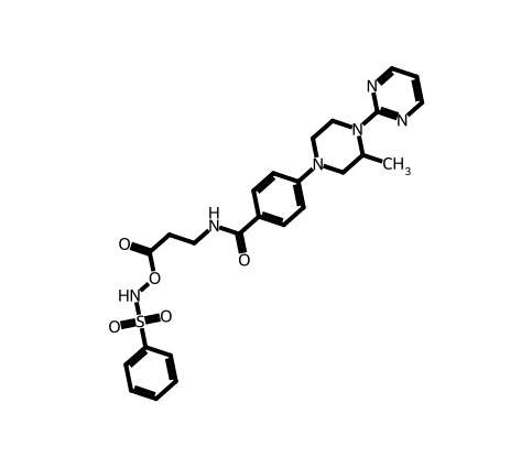 CC1CN(c2ccc(C(=O)NCCC(=O)ONS(=O)(=O)c3ccccc3)cc2)CCN1c1ncccn1